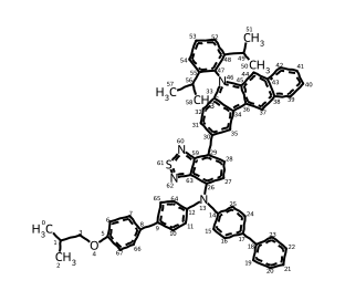 CC(C)COc1ccc(-c2ccc(N(c3ccc(-c4ccccc4)cc3)c3ccc(-c4ccc5c(c4)c4cc6ccccc6cc4n5-c4c(C(C)C)cccc4C(C)C)c4nsnc34)cc2)cc1